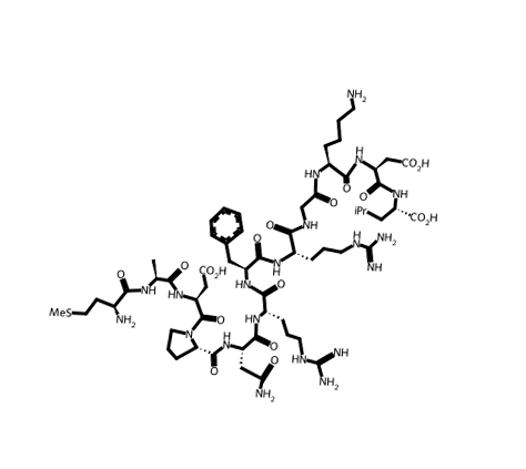 CSCC[C@H](N)C(=O)N[C@@H](C)C(=O)N[C@@H](CC(=O)O)C(=O)N1CCC[C@H]1C(=O)N[C@@H](CC(N)=O)C(=O)N[C@@H](CCCNC(=N)N)C(=O)N[C@@H](Cc1ccccc1)C(=O)N[C@@H](CCCNC(=N)N)C(=O)NCC(=O)N[C@@H](CCCCN)C(=O)N[C@@H](CC(=O)O)C(=O)N[C@@H](CC(C)C)C(=O)O